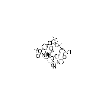 C[C@@H](O[Si](C)(C)C(C)(C)C)c1cc(Cl)c(O[C@@H]2CCN(c3ncc(C[C@H](CNC(=O)OC(C)(C)C)C(=O)N(Cc4cccc(Cl)c4Cl)C4CC4)s3)C2)c(Cl)c1